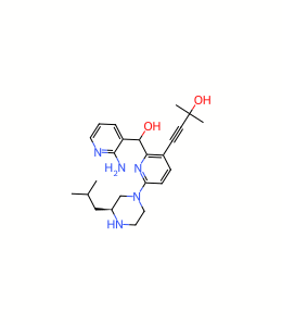 CC(C)C[C@H]1CN(c2ccc(C#CC(C)(C)O)c(C(O)c3cccnc3N)n2)CCN1